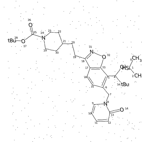 C[SiH](C)OC(c1c(Cn2ccccc2=O)ccc2c(CCC3CCN(C(=O)OC(C)(C)C)CC3)noc12)C(C)(C)C